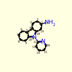 Nc1ccc2c3ccccc3n(-c3ccccn3)c2c1